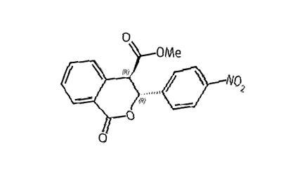 COC(=O)[C@@H]1c2ccccc2C(=O)O[C@H]1c1ccc([N+](=O)[O-])cc1